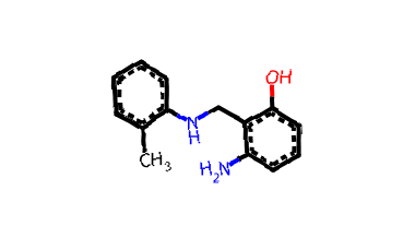 Cc1ccccc1NCc1c(N)cccc1O